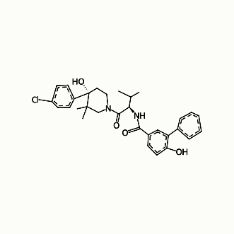 CC(C)[C@@H](NC(=O)c1ccc(O)c(-c2ccccc2)c1)C(=O)N1CC[C@](O)(c2ccc(Cl)cc2)C(C)(C)C1